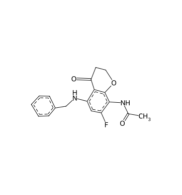 CC(=O)Nc1c(F)cc(NCc2ccccc2)c2c1OCCC2=O